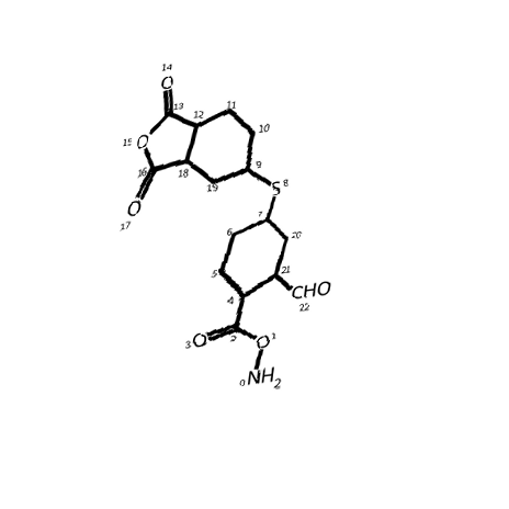 NOC(=O)C1CCC(SC2CCC3C(=O)OC(=O)C3C2)CC1C=O